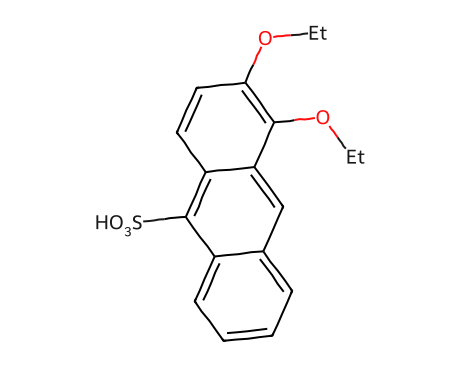 CCOc1ccc2c(S(=O)(=O)O)c3ccccc3cc2c1OCC